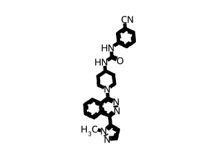 Cn1nccc1-c1nnc(N2CCC(NC(=O)Nc3cccc(C#N)c3)CC2)c2ccccc12